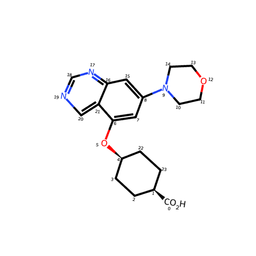 O=C(O)[C@H]1CC[C@@H](Oc2cc(N3CCOCC3)cc3ncncc23)CC1